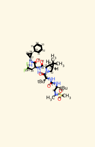 CN(C[C@@H](NC(=O)N[C@H](C(=O)N1C[C@H]2[C@@H]([C@H]1C(=O)N[C@@H](CC(F)F)C(=O)N[C@@H]1C[C@@H]1C1C=CC=CC1)C2(C)C)C(C)(C)C)C(C)(C)C)S(C)(=O)=O